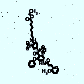 CCOC(=O)CCCCCCCNc1ccc(N(C(=O)c2ccc(NC(=O)C=Cc3ccccc3C)cc2Oc2ccccc2)[SH](=O)=O)cc1[N+](=O)[O-]